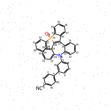 N#Cc1ccc(-c2cccc(N3c4ccccc4C4=C(c5ccccc53)P(=O)(c3ccccc3)c3ccccc34)c2)cc1